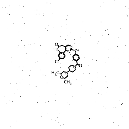 C[C@@H]1CN(C2CCN(C(=O)c3ccc(Nc4ncc5c(n4)-c4ccc(Cl)cc4NC(=O)C5)cc3)CC2)C[C@H](C)O1